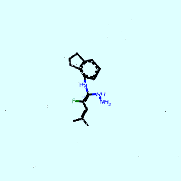 CC(C)=C/C(F)=C(\NN)Nc1cccc2c1CCC2